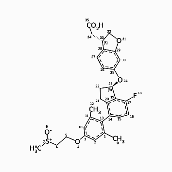 Cc1cc(OCC[S+](C)[O-])cc(C)c1-c1ccc(F)c2c1CC[C@H]2Oc1ccc2c(c1)OC[C@H]2CC(=O)O